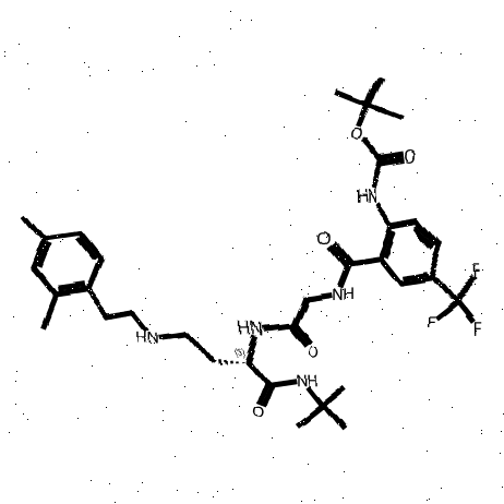 Cc1ccc(CCNCC[C@H](NC(=O)CNC(=O)c2cc(C(F)(F)F)ccc2NC(=O)OC(C)(C)C)C(=O)NC(C)(C)C)c(C)c1